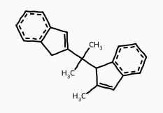 CC1=Cc2ccccc2C1C(C)(C)C1=Cc2ccccc2C1